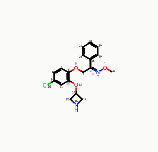 CO/N=C(/COc1ccc(Cl)cc1OC1CNC1)c1ccccc1